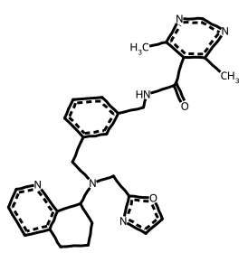 Cc1ncnc(C)c1C(=O)NCc1cccc(CN(Cc2ncco2)C2CCCc3cccnc32)c1